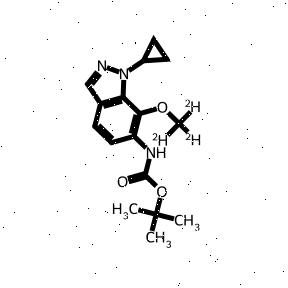 [2H]C([2H])([2H])Oc1c(NC(=O)OC(C)(C)C)ccc2cnn(C3CC3)c12